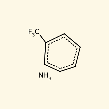 FC(F)(F)c1ccccc1.N